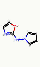 c1ccn(Nc2ncco2)c1